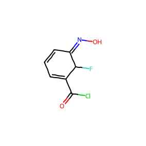 O=C(Cl)C1=CC=CC(=NO)C1F